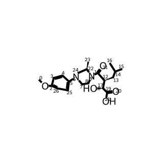 COc1ccc(N2CCN(C(=O)[C@@H](CC(C)C)[C@H](O)C(=O)O)[C@H](C)C2)cc1